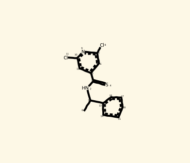 CC(NC(=S)c1cc(Cl)nc(Cl)c1)c1ccccc1